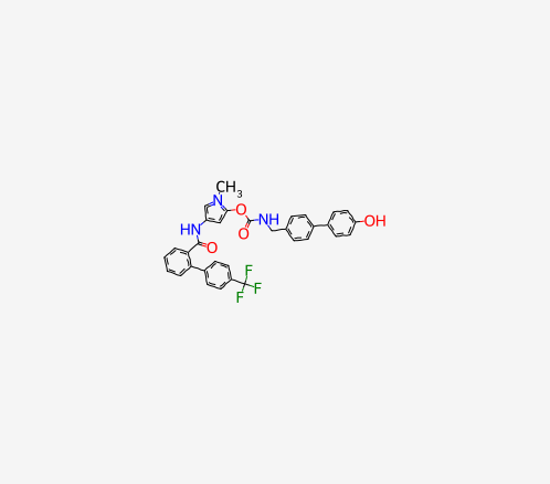 Cn1cc(NC(=O)c2ccccc2-c2ccc(C(F)(F)F)cc2)cc1OC(=O)NCc1ccc(-c2ccc(O)cc2)cc1